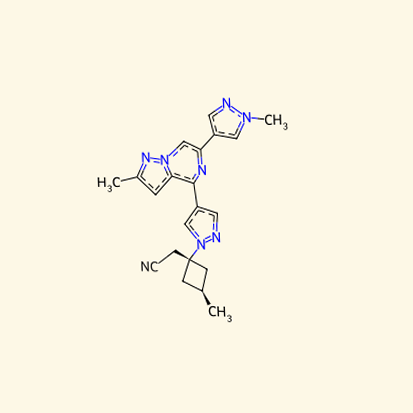 Cc1cc2c(-c3cnn([C@]4(CC#N)C[C@@H](C)C4)c3)nc(-c3cnn(C)c3)cn2n1